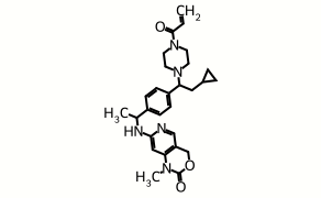 C=CC(=O)N1CCN(C(CC2CC2)c2ccc(C(C)Nc3cc4c(cn3)COC(=O)N4C)cc2)CC1